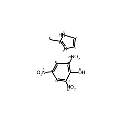 Cc1ncc[nH]1.O=[N+]([O-])c1cc([N+](=O)[O-])c(O)c([N+](=O)[O-])c1